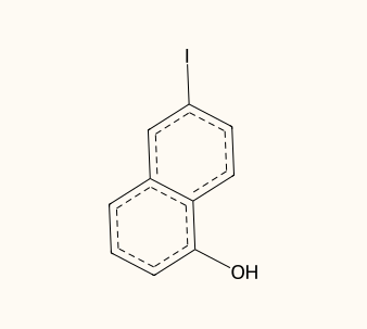 Oc1cccc2cc(I)ccc12